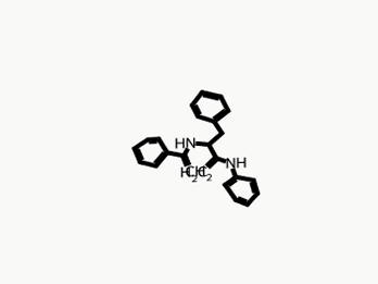 C=C(NC(Cc1ccccc1)C(=C)Nc1ccccc1)c1ccccc1